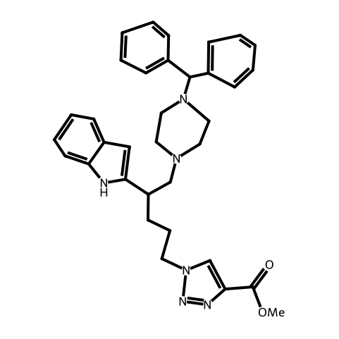 COC(=O)c1cn(CCCC(CN2CCN(C(c3ccccc3)c3ccccc3)CC2)c2cc3ccccc3[nH]2)nn1